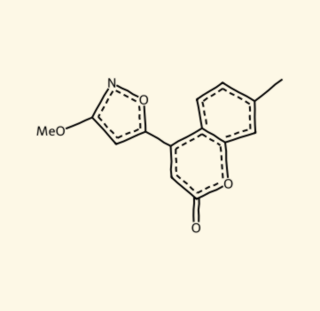 COc1cc(-c2cc(=O)oc3cc(C)ccc23)on1